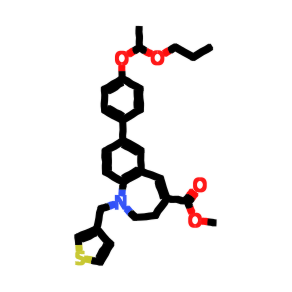 CCCOC(C)Oc1ccc(-c2ccc3c(c2)C=C(C(=O)OC)CCN3Cc2ccsc2)cc1